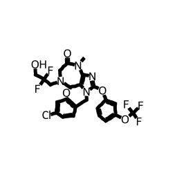 CN1C(=O)CN(CC(F)(F)CO)C(=O)c2c1nc(Oc1cccc(OC(F)(F)F)c1)n2Cc1ccc(Cl)cc1